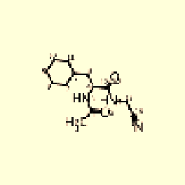 CC(=O)N[C@@H](CC1CCCCC1)C(=O)NCC#N